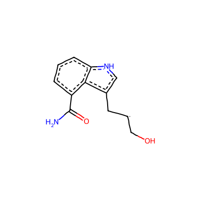 NC(=O)c1cccc2[nH]cc(C[CH]CO)c12